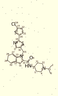 CC(C)N1CCC(NC(=O)c2cc3c(n2Cc2cnc(-c4ccc(Cl)s4)s2)=CCCC=3)CC1